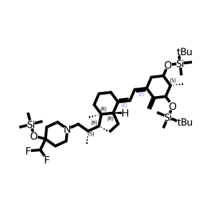 C=C1/C(=C\C=C2/CCC[C@]3(C)[C@@H]([C@H](C)CN4CCC(O[Si](C)(C)C)(C(F)F)CC4)CC[C@@H]23)CC(O[Si](C)(C)C(C)(C)C)[C@H](C)C1O[Si](C)(C)C(C)(C)C